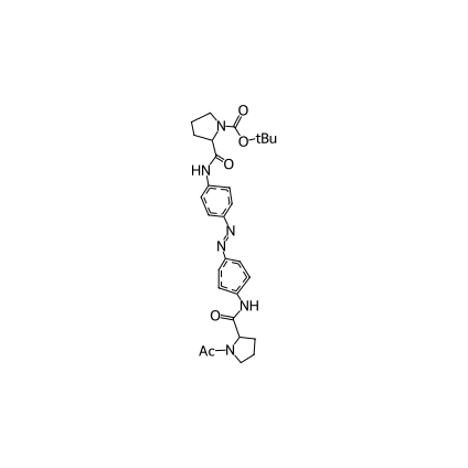 CC(=O)N1CCCC1C(=O)Nc1ccc(N=Nc2ccc(NC(=O)C3CCCN3C(=O)OC(C)(C)C)cc2)cc1